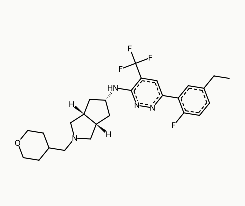 CCc1ccc(F)c(-c2cc(C(F)(F)F)c(N[C@@H]3C[C@@H]4CN(CC5CCOCC5)C[C@@H]4C3)nn2)c1